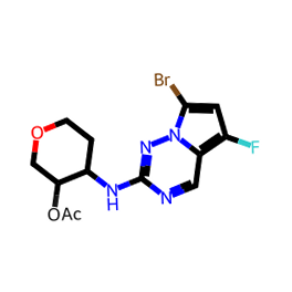 CC(=O)OC1COCCC1Nc1ncc2c(F)cc(Br)n2n1